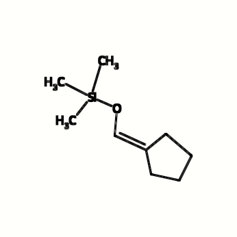 C[Si](C)(C)OC=C1CCCC1